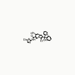 CCCc1cc2cc(C(O)(c3ccccc3)c3ccccn3)c(CC)n2cc1C(=O)Nc1ncn(CC)n1